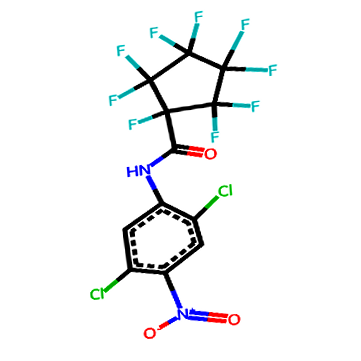 O=C(Nc1cc(Cl)c([N+](=O)[O-])cc1Cl)C1(F)C(F)(F)C(F)(F)C(F)(F)C1(F)F